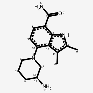 Cc1[nH]c2c(C(N)=O)ccc(N3CCC[C@H](N)C3)c2c1C